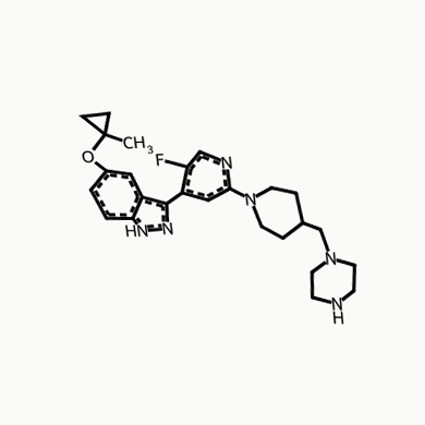 CC1(Oc2ccc3[nH]nc(-c4cc(N5CCC(CN6CCNCC6)CC5)ncc4F)c3c2)CC1